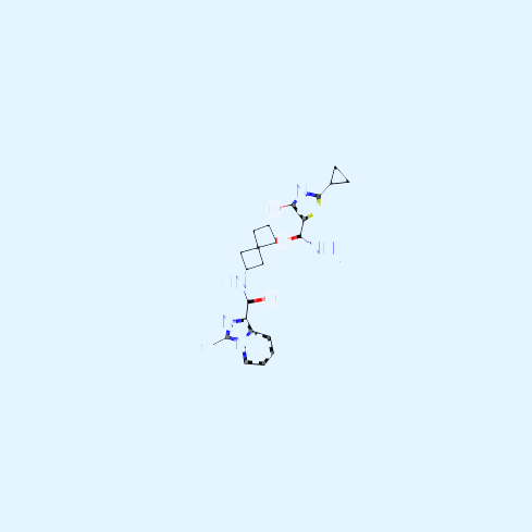 NC(=O)c1sc(C2CC2)nc1O[C@H]1CC2(C[C@H](NC(=O)c3nc(C(F)(F)F)n4ccccc34)C2)C1